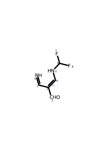 N=C/C(C=O)=C\NC(F)F